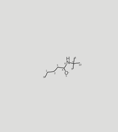 CCCCC([O])NC(C)(C)C